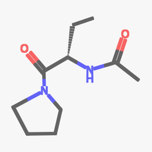 CC[C@H](NC(C)=O)C(=O)N1CCCC1